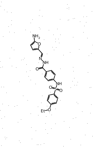 CCOc1ccc(S(=O)(=O)Nc2ccc(C(=O)N/N=C/c3ccc(N)o3)cc2)cc1